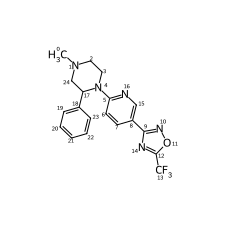 CN1CCN(c2ccc(-c3noc(C(F)(F)F)n3)cn2)C(c2ccccc2)C1